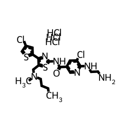 CCCCN(C)Cc1sc(NC(=O)c2cnc(NCCN)c(Cl)c2)nc1-c1cc(Cl)cs1.Cl.Cl.Cl